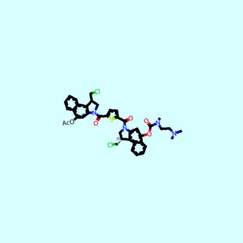 CC(=O)Oc1cc2c(c3ccccc13)C(CCl)CN2C(=O)c1ccc(C(=O)N2C[C@@H](CCl)c3c2cc(OC(=O)N(C)CCN(C)C)c2ccccc32)s1